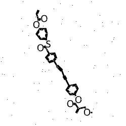 C=CC(=O)Oc1ccc(SC(=O)c2ccc(C#CC#Cc3ccc(OC(=O)C(=C)COC)cc3)cc2)cc1